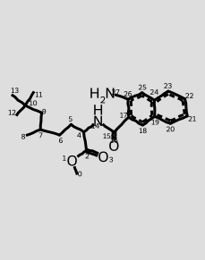 COC(=O)C(CCC(C)CC(C)(C)C)NC(=O)c1cc2ccccc2cc1N